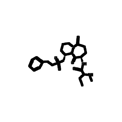 CCC(NC)C(=O)N[C@H]1CCC(=O)N2CCC[C@@H](CS(=O)(=O)CCc3ccccc3)N2C1=O